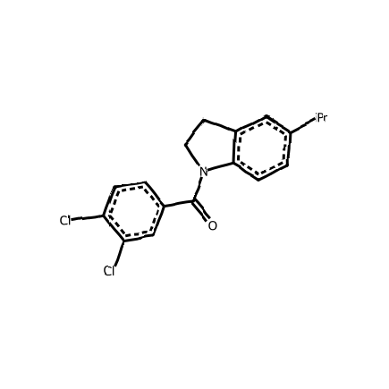 CC(C)c1ccc2c(c1)CCN2C(=O)c1ccc(Cl)c(Cl)c1